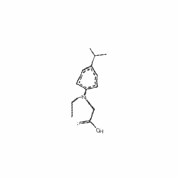 CCN(CC(=O)O)c1ccc(C(C)C)cc1